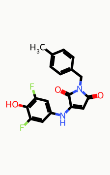 Cc1ccc(CN2C(=O)C=C(Nc3cc(F)c(O)c(F)c3)C2=O)cc1